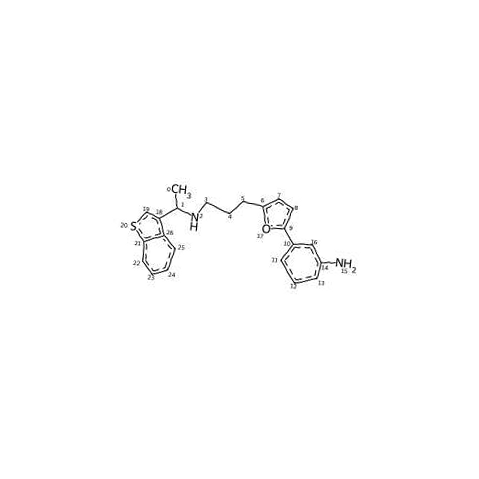 CC(NCCCc1ccc(-c2cccc(N)c2)o1)c1csc2ccccc12